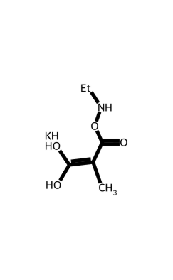 CCNOC(=O)C(C)=C(O)O.[KH]